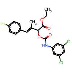 CCOC(=O)C(OC(=O)Nc1cc(Cl)cc(Cl)c1)C(C)=Cc1ccc(F)cc1